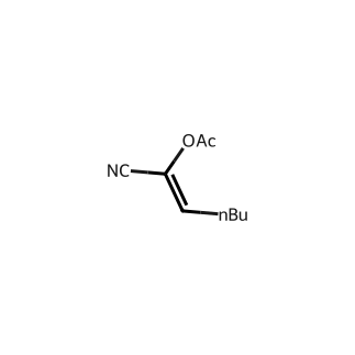 CCCCC=C(C#N)OC(C)=O